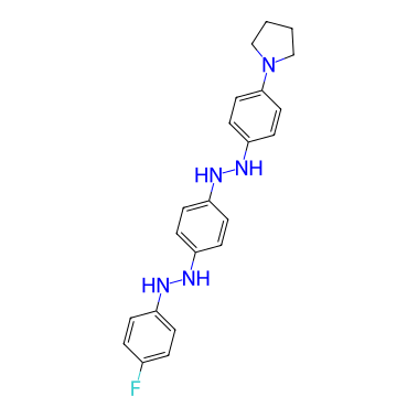 Fc1ccc(NNc2ccc(NNc3ccc(N4CCCC4)cc3)cc2)cc1